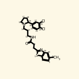 Cc1ccc2sc(CCC(=O)NCCCN3CCCC3c3ccc(Cl)c(Cl)c3)nc2c1